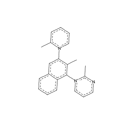 Cc1c(-[n+]2ccccc2C)cc2ccccc2c1-[n+]1cccnc1C